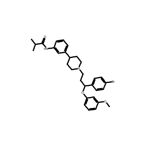 COc1cccc(OC(CCN2CCC(c3cccc(NC(=O)C(C)C)c3)CC2)c2ccc(Br)cc2)c1